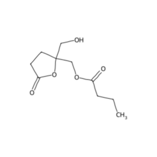 CCCC(=O)OCC1(CO)CCC(=O)O1